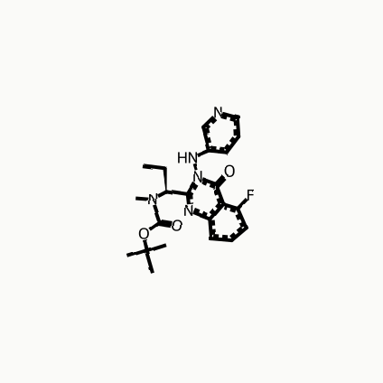 CC[C@@H](c1nc2cccc(F)c2c(=O)n1Nc1cccnc1)N(C)C(=O)OC(C)(C)C